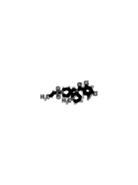 CCCS(=O)(=O)N1CCC(CNC(=O)c2cc(F)c(Cl)cc2Cl)(C2CCCCN2C)CC1